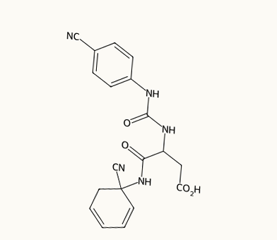 N#Cc1ccc(NC(=O)NC(CC(=O)O)C(=O)NC2(C#N)C=CC=CC2)cc1